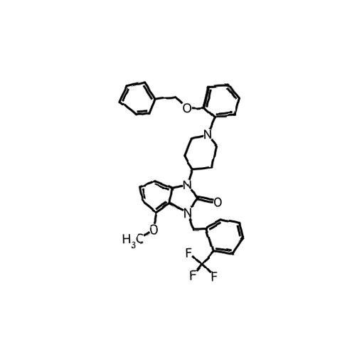 COc1cccc2c1n(Cc1ccccc1C(F)(F)F)c(=O)n2C1CCN(c2ccccc2OCc2ccccc2)CC1